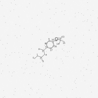 CCC(C)CC(C)c1ccc(OC(C)(C)C)cc1